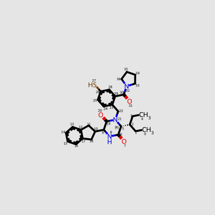 CCC(CC)[C@@H]1C(=O)NC(C2Cc3ccccc3C2)C(=O)N1Cc1ccc(S)cc1C(=O)N1CCCC1